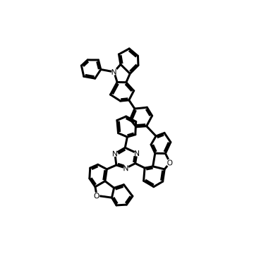 c1ccc(-c2nc(-c3cccc4oc5ccccc5c34)nc(-c3cccc4oc5ccc(-c6ccc(-c7ccc8c(c7)c7ccccc7n8-c7ccccc7)cc6)cc5c34)n2)cc1